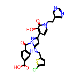 O=C(O)c1ccc(C(=O)n2nc(-c3ccn(CCc4cncnc4)c(=O)c3O)cc2NCc2ccc(Cl)s2)cc1